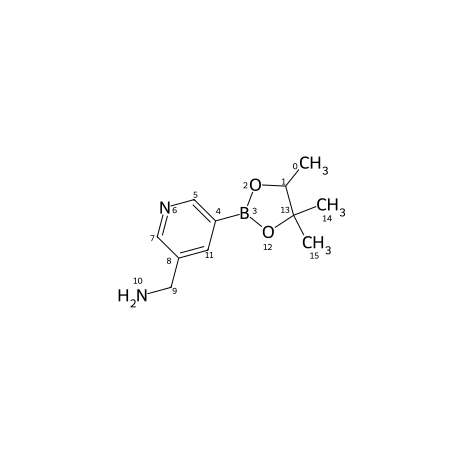 CC1OB(c2cncc(CN)c2)OC1(C)C